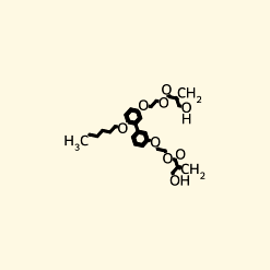 C=C(CO)C(=O)OCCOc1cccc(-c2cc(OCCOC(=O)C(=C)CO)ccc2OCCCCCC)c1